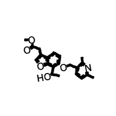 COC(=O)Cc1coc2c(C(C)O)c(OCc3ccc(C)nc3C)ccc12